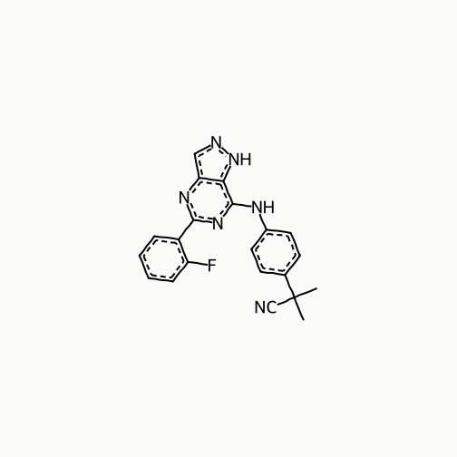 CC(C)(C#N)c1ccc(Nc2nc(-c3ccccc3F)nc3cn[nH]c23)cc1